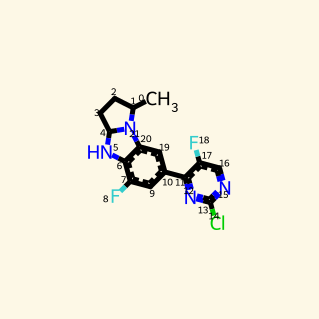 CC1CCC2Nc3c(F)cc(-c4nc(Cl)ncc4F)cc3N12